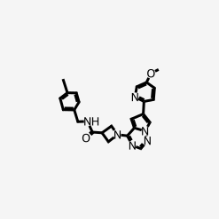 COc1ccc(-c2cc3c(N4CC(C(=O)NCc5ccc(C)cc5)C4)ncnn3c2)nc1